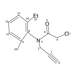 C#CCN(C(=O)CCl)c1c(C)cccc1CC